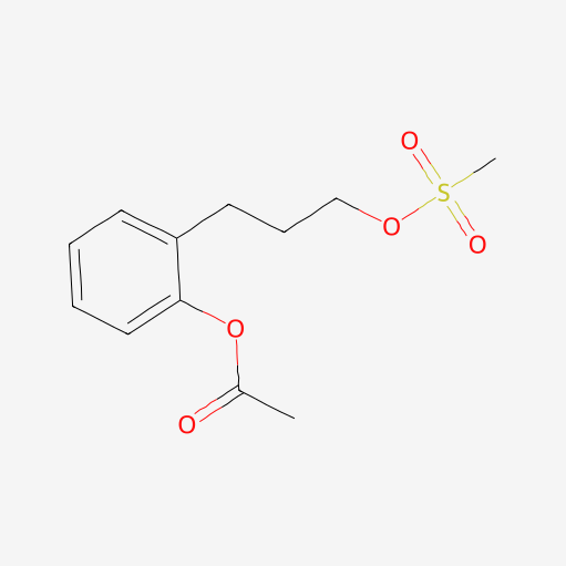 CC(=O)Oc1ccccc1CCCOS(C)(=O)=O